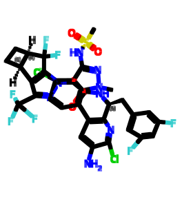 Cn1nc(NS(C)(=O)=O)c2c(Cl)ccc(-c3cc(N)c(Cl)nc3[C@H](Cc3cc(F)cc(F)c3)NC(=O)Cn3nc(C(F)(F)F)c4c3C(F)(F)[C@@H]3CC[C@H]43)c21